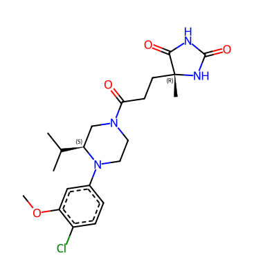 COc1cc(N2CCN(C(=O)CC[C@@]3(C)NC(=O)NC3=O)C[C@@H]2C(C)C)ccc1Cl